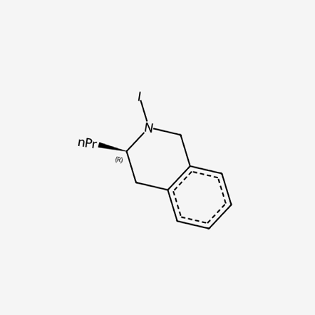 CCC[C@@H]1Cc2ccccc2CN1I